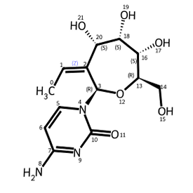 C/C=C1\[C@H](n2ccc(N)nc2=O)O[C@H](CO)[C@@H](O)[C@@H](O)[C@H]1O